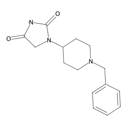 O=C1CN(C2CCN(Cc3ccccc3)CC2)C(=O)[N]1